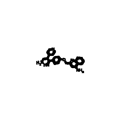 N=C(/C(=C\N)c1ccncc1)c1ccc(OCc2cc(N)c3ccccc3n2)cc1